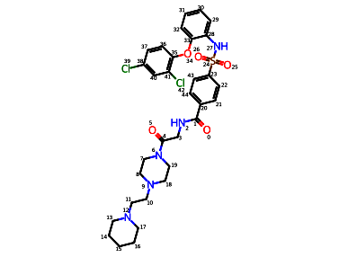 O=C(NCC(=O)N1CCN(CCN2CCCCC2)CC1)c1ccc(S(=O)(=O)Nc2ccccc2Oc2ccc(Cl)cc2Cl)cc1